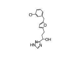 OC(CCc1ccc(Cc2cccc(Cl)c2)o1)c1nc[nH]n1